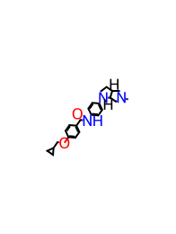 CN1C[C@H]2CCN(c3ccc(NC(=O)c4ccc(OCC5CC5)cc4)cc3)[C@H]2C1